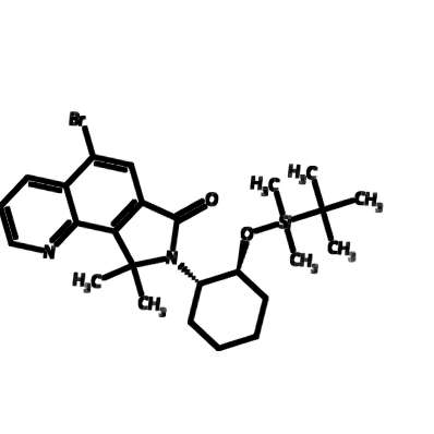 CC1(C)c2c(cc(Br)c3cccnc23)C(=O)N1[C@H]1CCCC[C@@H]1O[Si](C)(C)C(C)(C)C